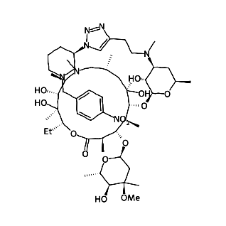 CC[C@H]1OC(=O)[C@H](C)[C@@H](O[C@H]2C[C@@](C)(OC)[C@@H](O)[C@H](C)O2)[C@H](C)[C@@H](O[C@@H]2O[C@H](C)C[C@H](N(C)CCc3cn([C@@H]4CCCN(Cc5ccc([N+](=O)[O-])cc5)C4)nn3)[C@H]2O)[C@](C)(O)C[C@@H](C)CN(C)[C@H](C)[C@@H](O)[C@]1(C)O